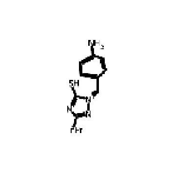 CCCC1=N[N+](=Cc2ccc(N)cc2)C(S)=N1